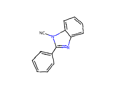 N#Cn1c(-c2ccccc2)nc2ccccc21